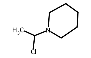 CC(Cl)N1CCCCC1